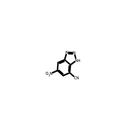 N#Cc1cc([N+](=O)[O-])cc2nn[nH]c12